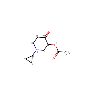 CC(=O)OC1CN(C2CC2)CCC1=O